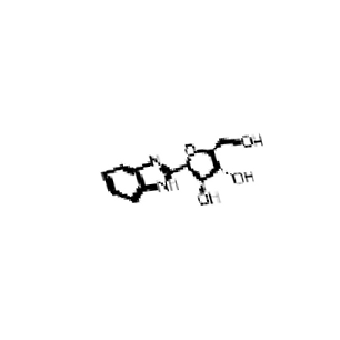 OC[C@@H]1O[C@H](c2nc3ccccc3[nH]2)[C@H](O)[C@H]1O